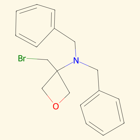 BrCC1(N(Cc2ccccc2)Cc2ccccc2)COC1